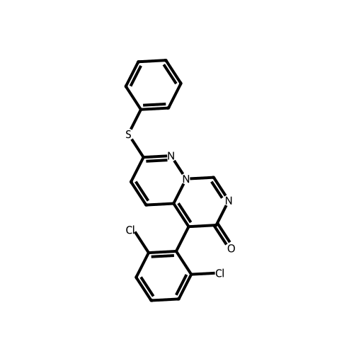 O=c1ncn2nc(Sc3ccccc3)ccc2c1-c1c(Cl)cccc1Cl